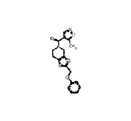 Cc1oncc1C(=O)N1CCc2nc(COc3ccccc3)oc2C1